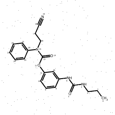 CCCNC(=O)Nc1cccc(OC(=O)N(CCC#N)c2ccccc2)c1